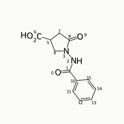 O=C(NN1CC(C(=O)O)CC1=O)c1ccccc1